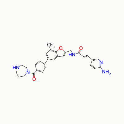 Nc1ccc(C=CC(=O)NCc2cc3cc(-c4ccc(C(=O)N5CCCNCC5)cc4)cc(C(F)(F)F)c3o2)cn1